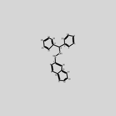 c1ccc(C(SSc2ccc3ccccc3c2)c2ccccc2)cc1